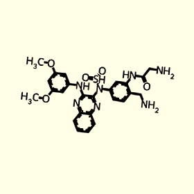 COc1cc(Nc2nc3ccccc3nc2N(c2ccc(CN)c(NC(=O)CN)c2)[SH](=O)=O)cc(OC)c1